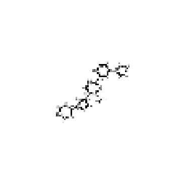 Cl.c1cc(-c2cnoc2)cc(-c2ncc(-c3cnn(C4CCNCC4)c3)cn2)c1